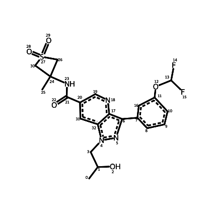 CC(O)Cn1nc(-c2cccc(OC(F)F)c2)c2ncc(C(=O)NC3(C)CS(=O)(=O)C3)cc21